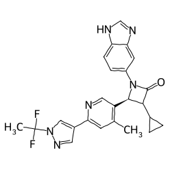 Cc1cc(-c2cnn(C(C)(F)F)c2)ncc1[C@@H]1C(C2CC2)C(=O)N1c1ccc2[nH]cnc2c1